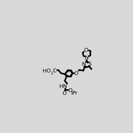 Cc1sc(N2CCOCC2)nc1CCOc1ccc(CCC(=O)O)c(CCNC(=O)OC(C)C)c1